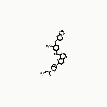 C=CC(=O)N1CC2CC1CN2c1ccc2ncnc(Nc3ccc(Cc4ccn5ncnc5c4)c(C)c3)c2n1